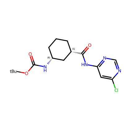 CC(C)(C)OC(=O)N[C@@H]1CCC[C@H](C(=O)Nc2cc(Cl)ncn2)C1